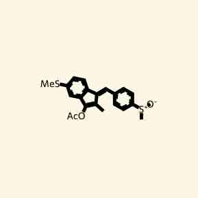 CSc1ccc2c(c1)C(OC(C)=O)=C(C)C2=Cc1ccc([S+](C)[O-])cc1